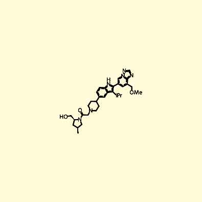 COCc1cc(-c2[nH]c3ccc(C4CCN(CC(=O)N5C[C@@H](C)C[C@H]5CO)CC4)cc3c2C(C)C)cn2ncnc12